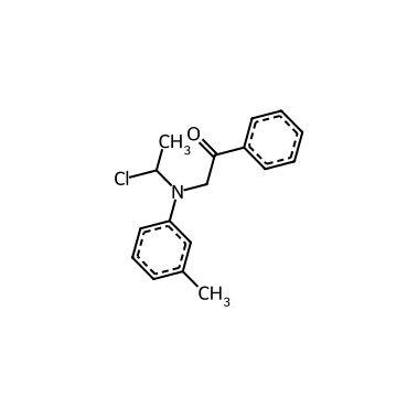 Cc1cccc(N(CC(=O)c2ccccc2)C(C)Cl)c1